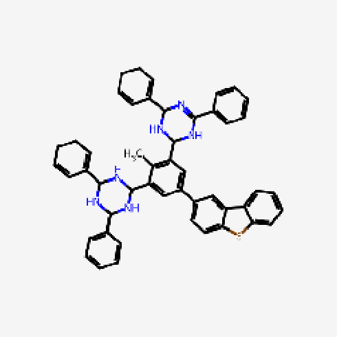 Cc1c(C2NC(c3ccccc3)=NC(C3=CCCC=C3)N2)cc(-c2ccc3sc4ccccc4c3c2)cc1C1NC(C2=CCCC=C2)NC(c2ccccc2)N1